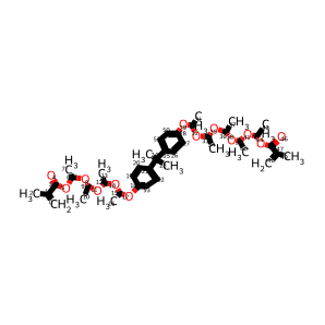 C=C(C)C(=O)OC(C)OC(C)OC(C)OC(C)Oc1ccc(C(C)(C)c2ccc(OC(C)OC(C)OC(C)OC(C)OC(C)OC(=O)C(=C)C)cc2)cc1